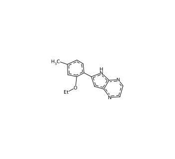 CCOc1cc(C)ccc1-c1cc2nccnc2[nH]1